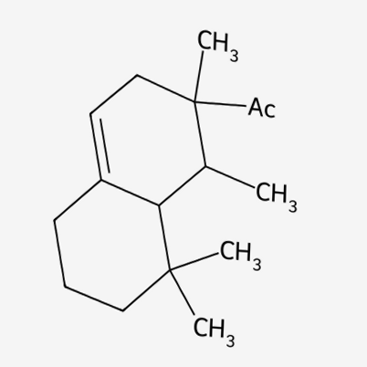 CC(=O)C1(C)CC=C2CCCC(C)(C)C2C1C